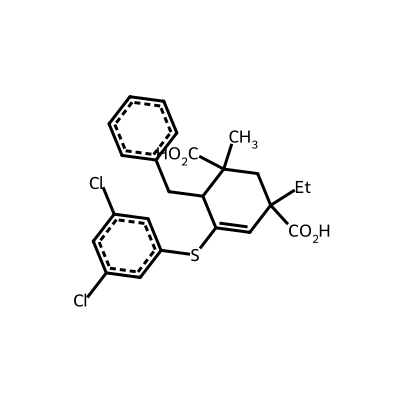 CCC1(C(=O)O)C=C(Sc2cc(Cl)cc(Cl)c2)C(Cc2ccccc2)C(C)(C(=O)O)C1